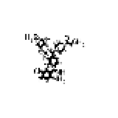 C=CC(=O)N1CCN(c2nc(OC3CN(C)CC3C)nc3c(Oc4c(Cl)c(F)cc(N)c4C=N)nccc23)CC1